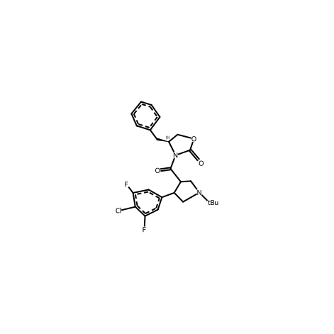 CC(C)(C)N1CC(C(=O)N2C(=O)OC[C@@H]2Cc2ccccc2)C(c2cc(F)c(Cl)c(F)c2)C1